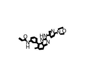 C=CC(=O)Nc1cccc(-c2c(C)ccc3cnc(Nc4ccc(N5CCOCC5)nc4)nc23)c1